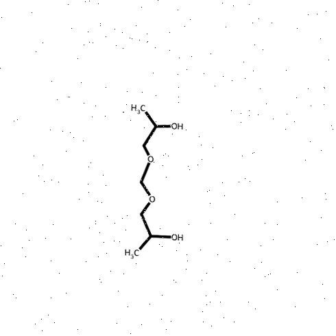 CC(O)COCOCC(C)O